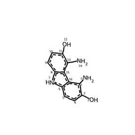 Nc1c(O)ccc2[nH]c3ccc(O)c(N)c3c12